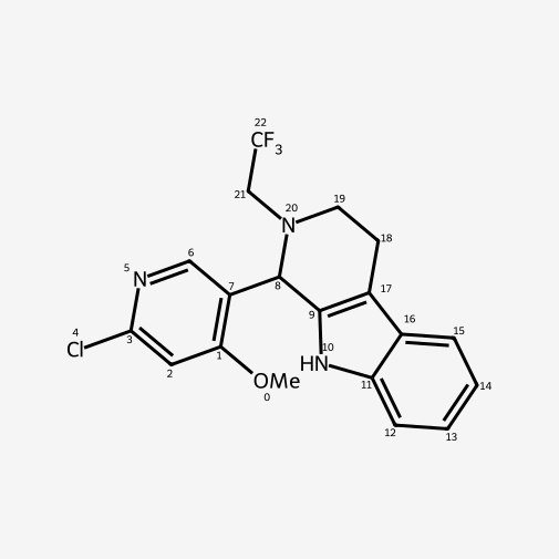 COc1cc(Cl)ncc1C1c2[nH]c3ccccc3c2CCN1CC(F)(F)F